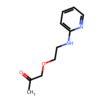 CC(=O)COCCNc1ccccn1